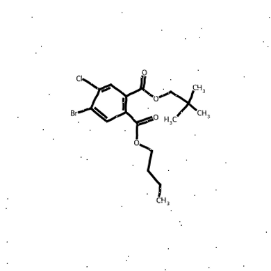 CCCCOC(=O)c1cc(Br)c(Cl)cc1C(=O)OCC(C)(C)C